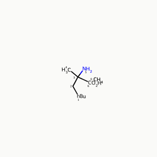 C.CCCCCC(C)(N)C(=O)O